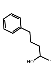 [CH2]C(O)CCCc1ccccc1